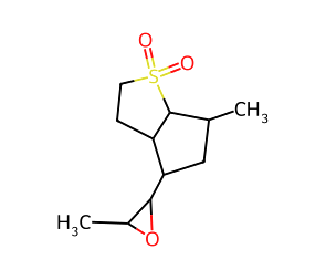 CC1CC(C2OC2C)C2CCS(=O)(=O)C12